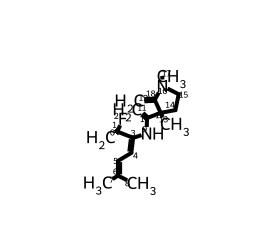 C=C(F)/C(=C\C=C(C)C)NC(=C)C1(C)CCN(C)C1=C